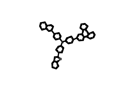 c1ccc2cc(-c3ccc(N(c4ccc(-c5ccc6c7ccccc7c7ccccc7c6c5)cc4)c4ccc(-c5cc6ccccc6o5)cc4)cc3)ccc2c1